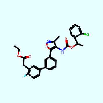 CCOC(=O)Cc1cc(-c2cccc(-c3onc(C)c3NC(=O)OC(C)c3ccccc3Cl)c2)ccc1F